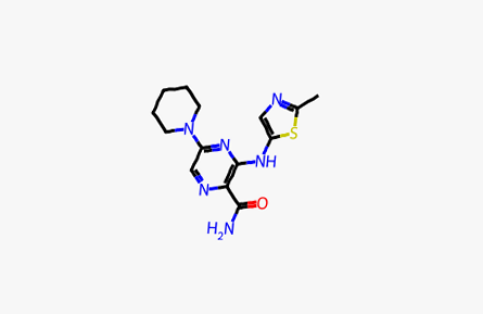 Cc1ncc(Nc2nc(N3CCCCC3)cnc2C(N)=O)s1